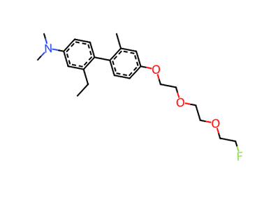 CCc1cc(N(C)C)ccc1-c1ccc(OCCOCCOCCF)cc1C